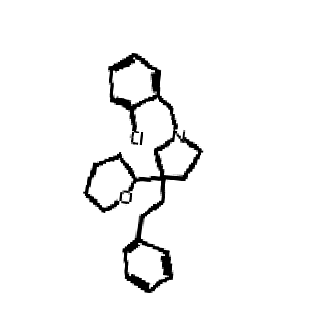 Clc1ccccc1CN1CCC(CCc2ccccc2)(C2CCCCO2)C1